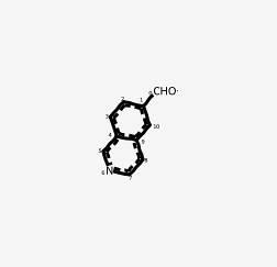 O=[C]c1ccc2cnccc2c1